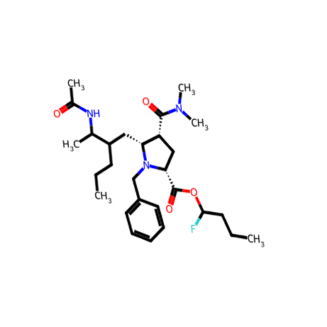 CCCC(F)OC(=O)[C@H]1C[C@@H](C(=O)N(C)C)[C@@H](CC(CCC)C(C)NC(C)=O)N1Cc1ccccc1